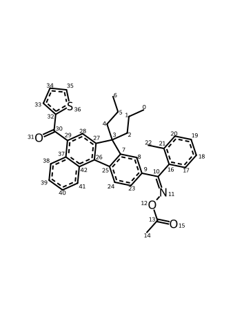 CCCC1(CCC)c2cc(/C(=N\OC(C)=O)c3ccccc3C)ccc2-c2c1cc(C(=O)c1cccs1)c1ccccc21